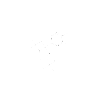 CC1(C)CC(N[S+]([O-])C(C)(C)C)(c2ncc(Br)cn2)C1